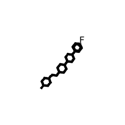 CC1CCC(CCC2CCC(C3CCC(c4ccc(F)cc4)CC3)CC2)CC1